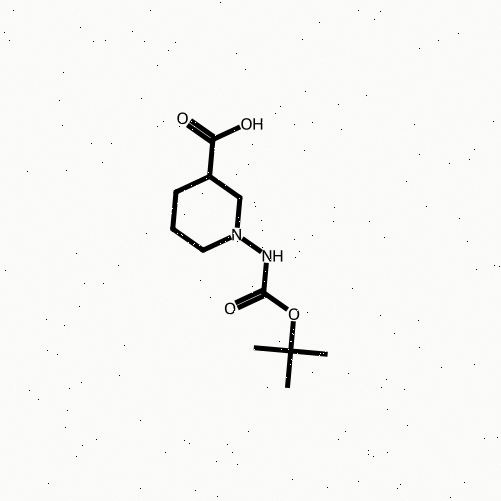 CC(C)(C)OC(=O)NN1CCCC(C(=O)O)C1